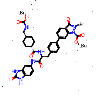 CC(C)n1c(=O)c2ccc(-c3ccc(C[C@H](NC(=O)[C@H]4CC[C@H](CNC(=O)OC(C)(C)C)CC4)C(=O)Nc4ccc5[nH]c(=O)[nH]c5c4)cc3)cc2n1C(=O)OC(C)(C)C